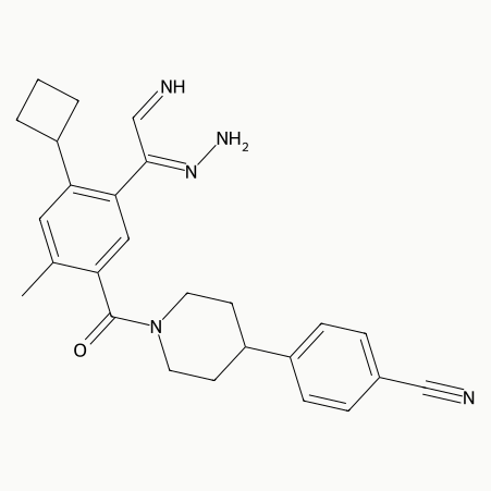 Cc1cc(C2CCC2)c(/C(C=N)=N/N)cc1C(=O)N1CCC(c2ccc(C#N)cc2)CC1